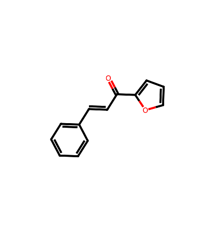 O=C(C=Cc1ccccc1)c1ccco1